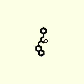 O=CC(CCc1ccccc1)Cc1ccc2ccccc2c1